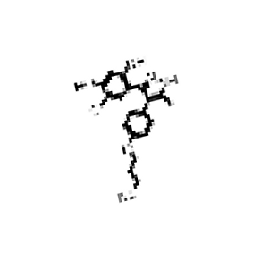 Cc1[nH]nc(-c2cc(Cl)c(O)cc2O)c1-c1ccc(OCCCC#N)cc1